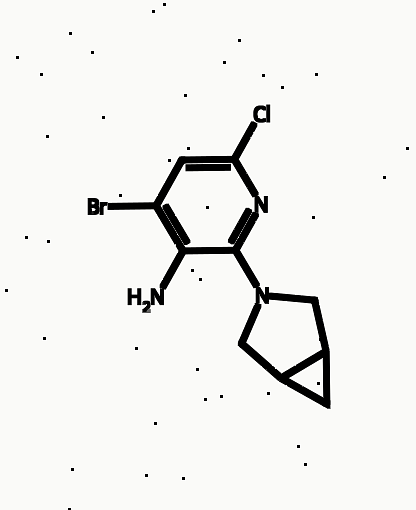 Nc1c(Br)cc(Cl)nc1N1CC2CC2C1